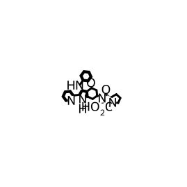 CN(C(=O)[C@@H]1CCCN1C(=O)O)C1CC(=O)c2c([nH]c(-c3ccccn3)c2Nc2ccccc2)C1